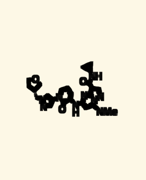 CNc1cc(Nc2cccn(-c3cnn(C[C@@H]4CCOC4)c3)c2=O)nc2c(C(=O)NC3CC3)cnn12